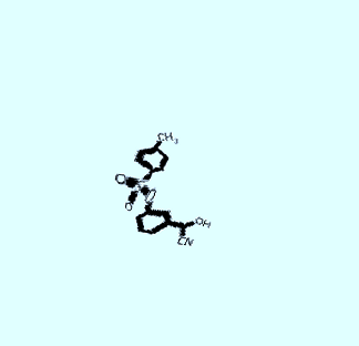 Cc1ccc(S(=O)(=O)Oc2cccc(C(O)C#N)c2)cc1